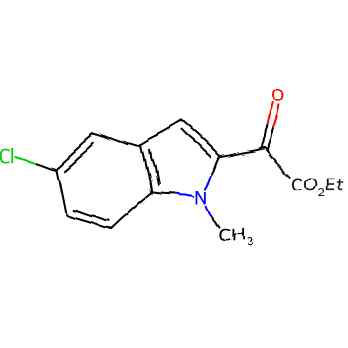 CCOC(=O)C(=O)c1cc2cc(Cl)ccc2n1C